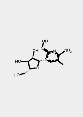 Cc1cn([C@@H]2O[C@H](CO)[C@@H](O)[C@H]2O)/c(=N/O)nc1N